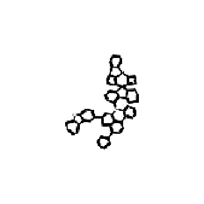 c1ccc(-c2ccc(-c3ccccc3N(c3cccc(-c4ccc5oc6ccccc6c5c4)c3)c3cccc4c3-c3ccccc3C43c4ccccc4-n4c5ccccc5c5cccc3c54)cc2)cc1